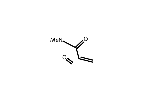 C=CC(=O)NC.C=O